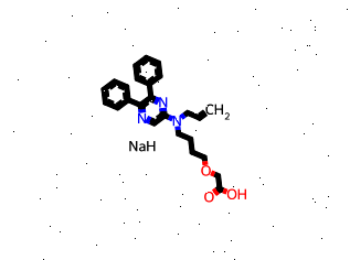 C=CCN(CCCCOCC(=O)O)c1cnc(-c2ccccc2)c(-c2ccccc2)n1.[NaH]